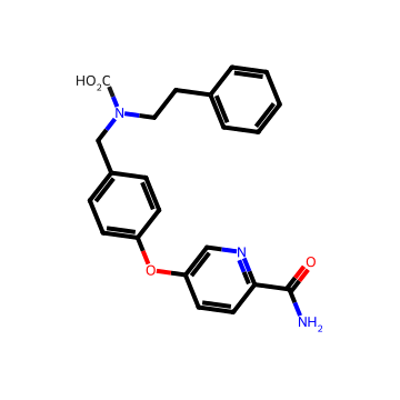 NC(=O)c1ccc(Oc2ccc(CN(CCc3ccccc3)C(=O)O)cc2)cn1